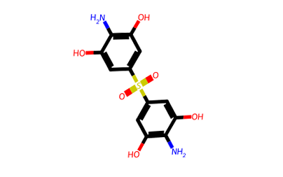 Nc1c(O)cc(S(=O)(=O)c2cc(O)c(N)c(O)c2)cc1O